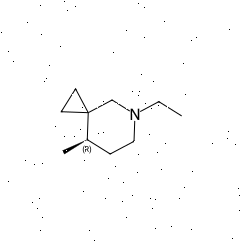 CCN1CC[C@@H](C)C2(CC2)C1